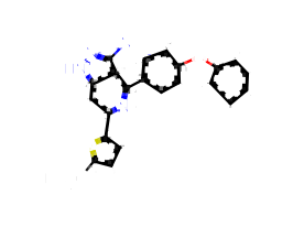 Nc1n[nH]c2cc(-c3ccc(C(=O)O)s3)nc(-c3ccc(Oc4ccccc4)cc3)c12